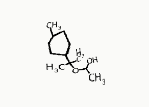 CC1CCC(C(C)(C)OC(C)O)CC1